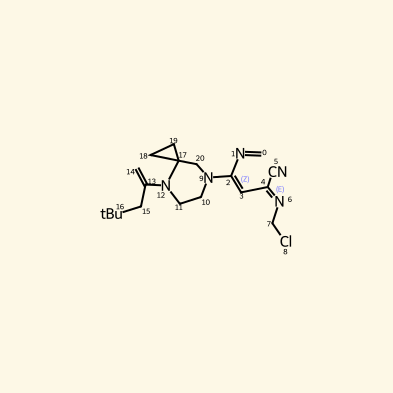 C=N/C(=C\C(C#N)=N/CCl)N1CCN(C(=C)CC(C)(C)C)C2(CC2)C1